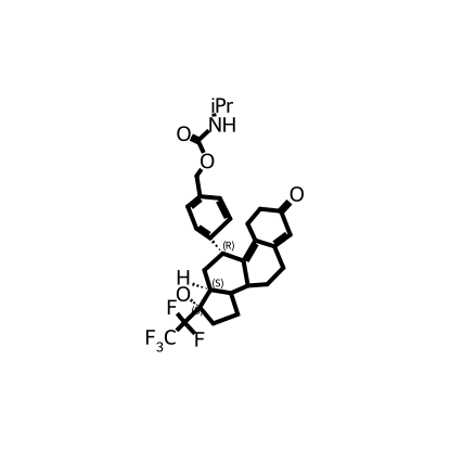 CC(C)NC(=O)OCc1ccc([C@H]2C[C@@]3(C)C(CC[C@@]3(O)C(F)(F)C(F)(F)F)C3CCC4=CC(=O)CCC4=C32)cc1